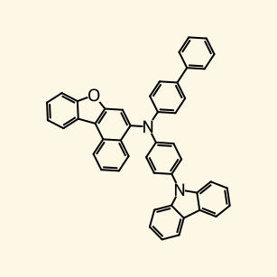 c1ccc(-c2ccc(N(c3ccc(-n4c5ccccc5c5ccccc54)cc3)c3cc4oc5ccccc5c4c4ccccc34)cc2)cc1